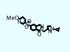 COc1ccc(S(=O)(=O)c2ccc3c(=O)n(Cc4ccn(C5CC5)n4)ncc3c2)cn1